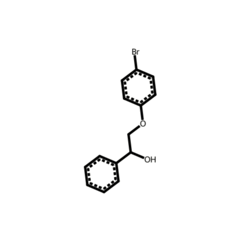 OC(COc1ccc(Br)cc1)c1ccccc1